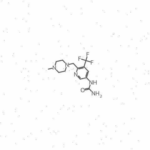 CN1CCN(Cc2ncc(NC(N)=O)cc2C(F)(F)F)CC1